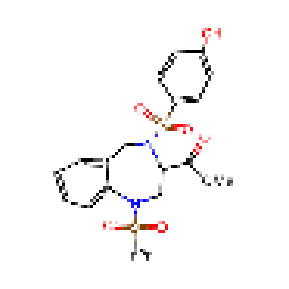 CCCS(=O)(=O)N1CC(C(=O)OC)N(S(=O)(=O)c2ccc(O)cc2)Cc2ccccc21